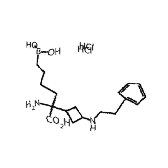 Cl.Cl.NC(CCCCB(O)O)(C(=O)O)C1CC(NCCc2ccccc2)C1